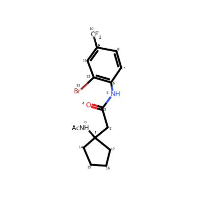 CC(=O)NC1(CC(=O)Nc2ccc(C(F)(F)F)cc2Br)CCCC1